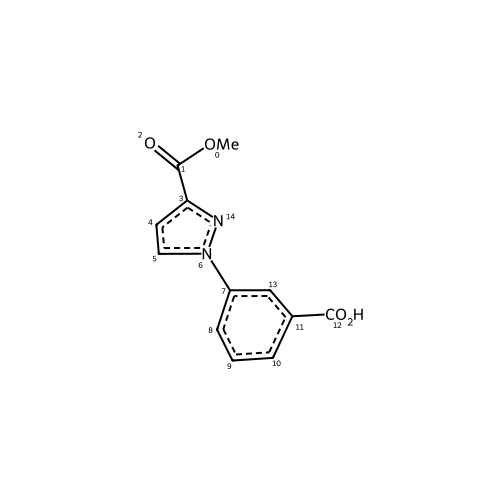 COC(=O)c1ccn(-c2cccc(C(=O)O)c2)n1